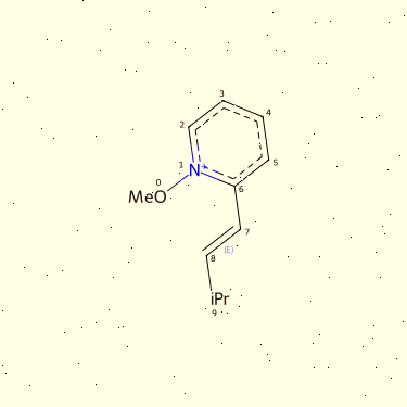 CO[n+]1ccccc1/C=C/C(C)C